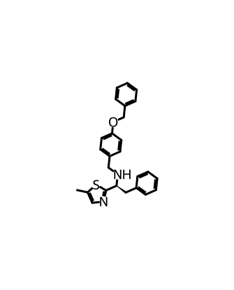 Cc1cnc([C@H](Cc2ccccc2)NCc2ccc(OCc3ccccc3)cc2)s1